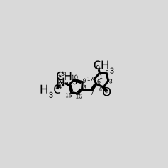 CC1CCC(=O)C(=Cc2ccc(N(C)C)cc2)C1